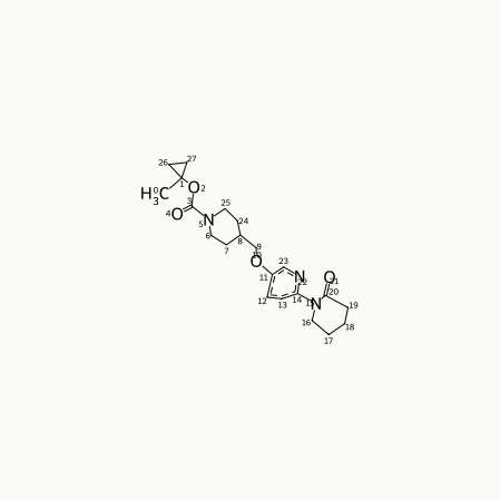 CC1(OC(=O)N2CCC(COc3ccc(N4CCCCC4=O)nc3)CC2)CC1